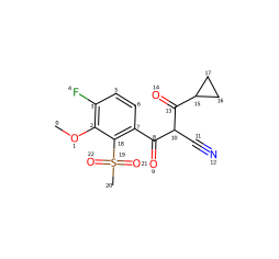 COc1c(F)ccc(C(=O)C(C#N)C(=O)C2CC2)c1S(C)(=O)=O